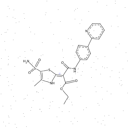 CCOC(=O)/C(C(=O)Nc1ccc(-c2ccccn2)cc1)=C1\NC(C)=C(S(N)(=O)=O)S1